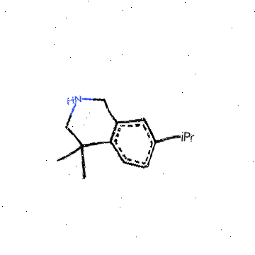 CC(C)c1ccc2c(c1)CNCC2(C)C